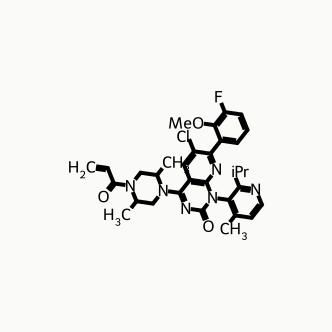 C=CC(=O)N1CC(C)N(c2nc(=O)n(-c3c(C)ccnc3C(C)C)c3nc(-c4cccc(F)c4OC)c(Cl)cc23)CC1C